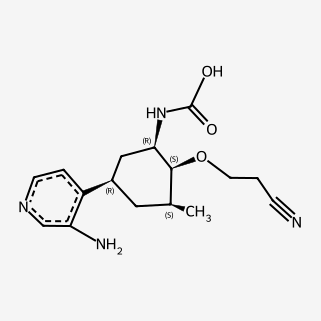 C[C@H]1C[C@@H](c2ccncc2N)C[C@@H](NC(=O)O)[C@H]1OCCC#N